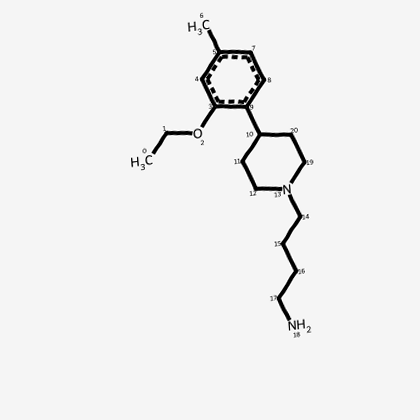 CCOc1cc(C)ccc1C1CCN(CCCCN)CC1